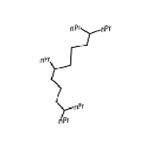 CCCC(CCC)CCCC(CCC)CCCC(CCC)CCC